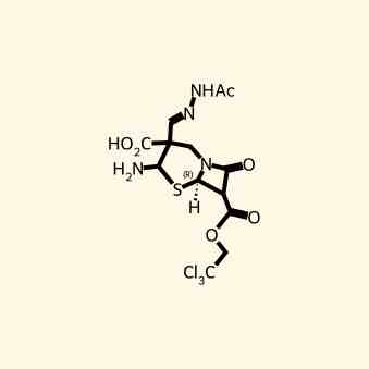 CC(=O)NN=CC1(C(=O)O)CN2C(=O)C(C(=O)OCC(Cl)(Cl)Cl)[C@H]2SC1N